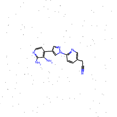 N#CCc1ccc(-n2cc(-c3ccnc(N)c3N)cn2)nc1